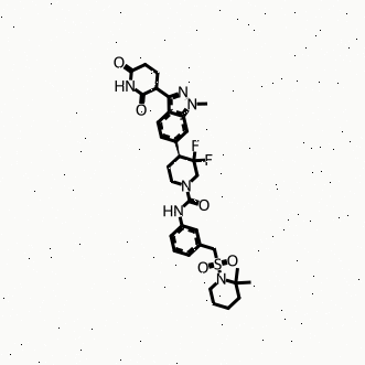 Cn1nc(C2CCC(=O)NC2=O)c2ccc([C@@H]3CCN(C(=O)Nc4cccc(CS(=O)(=O)N5CCCCC5(C)C)c4)CC3(F)F)cc21